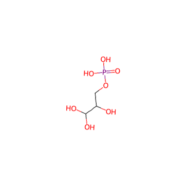 O=P(O)(O)OCC(O)C(O)O